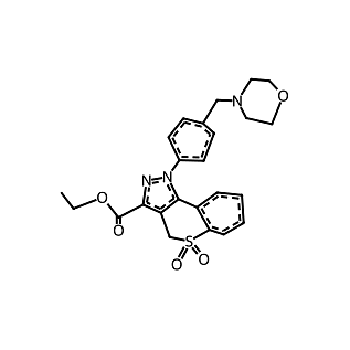 CCOC(=O)c1nn(-c2ccc(CN3CCOCC3)cc2)c2c1CS(=O)(=O)c1ccccc1-2